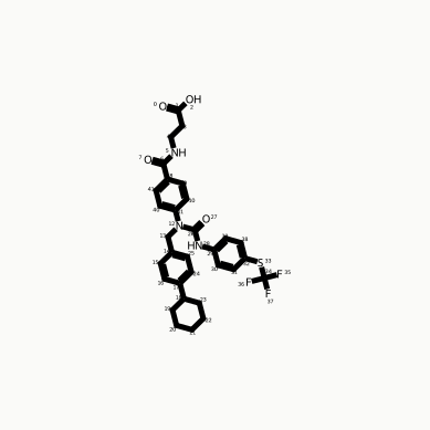 O=C(O)CCNC(=O)c1ccc(N(Cc2ccc(C3CCCCC3)cc2)C(=O)Nc2ccc(SC(F)(F)F)cc2)cc1